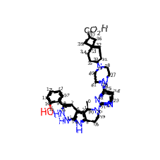 C[C@@H]1c2c([nH]c3c2C=C(c2ccccc2O)NN3)CCN1c1nccc(N2CCN(C3CCC4(CC3)CC(C(=O)O)C4)CC2)n1